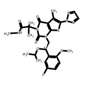 CNC(=O)C(C)(C)n1c(=O)c2c(C)c(-n3nccn3)sc2n(C[C@H](OC(C)C)c2cc(F)ccc2OC)c1=O